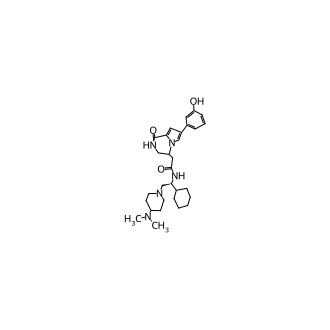 CN(C)C1CCN(C[C@@H](NC(=O)CC2CNC(=O)c3cc(-c4cccc(O)c4)cn32)C2CCCCC2)CC1